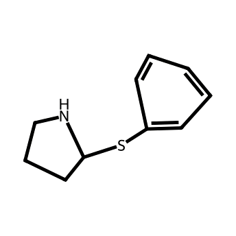 c1ccc(SC2CCCN2)cc1